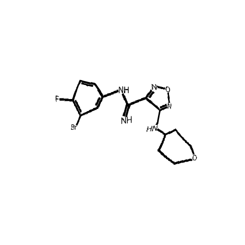 N=C(Nc1ccc(F)c(Br)c1)c1nonc1NC1CCOCC1